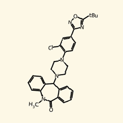 CN1C(=O)c2ccccc2C(N2CCN(c3ccc(-c4noc(C(C)(C)C)n4)cc3Cl)CC2)c2ccccc21